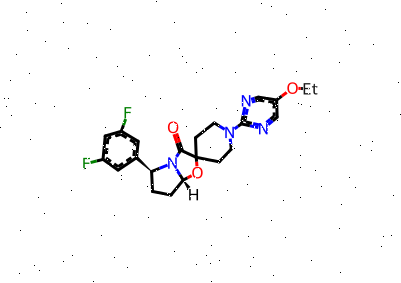 CCOc1cnc(N2CCC3(CC2)O[C@@H]2CC[C@@H](c4cc(F)cc(F)c4)N2C3=O)nc1